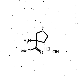 COC(=O)C1(N)CCNC1.Cl.Cl